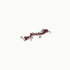 CNC(=O)[C@H](c1ccccc1)N(C)Cc1ccc(-c2cccc(-c3sccc3NC(=O)CCOCCOCCOCCC(=O)NCCN3CCN(c4ccc5nc(-c6c(N)c7c(F)cccc7[nH]c6=O)[nH]c5c4)CC3)c2)cc1